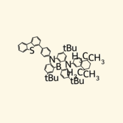 CC(C)(C)c1ccc2c(c1)B1c3ccc(C(C)(C)C)cc3N(c3ccc4c(c3)C(C)(C)CCC4(C)C)c3cc(C(C)(C)C)cc(c31)N2c1ccc(-c2cccc3c2sc2ccccc23)cc1